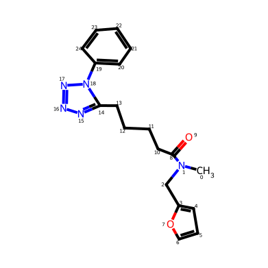 CN(Cc1ccco1)C(=O)CCCCc1nnnn1-c1ccccc1